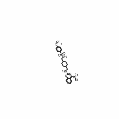 CCN(CC)c1nc(NCC2CCC(CNS(=O)(=O)c3ccc(OC(F)(F)F)cc3)CC2)nc2ccccc12